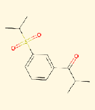 CC(C)C(=O)c1cccc(S(=O)(=O)C(C)C)c1